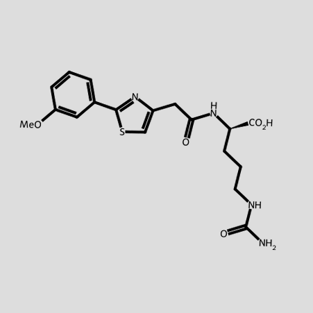 COc1cccc(-c2nc(CC(=O)N[C@H](CCCNC(N)=O)C(=O)O)cs2)c1